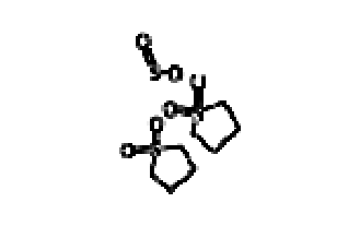 O=S1(=O)CCCC1.O=S1(=O)CCCC1.O=S=O